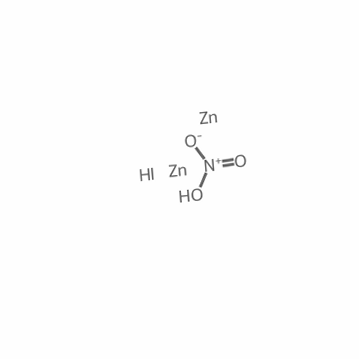 I.O=[N+]([O-])O.[Zn].[Zn]